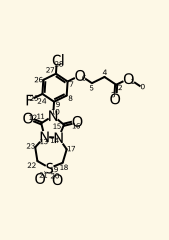 COC(=O)CCOc1cc(-n2c(=O)n3n(c2=O)CCS(=O)(=O)CC3)c(F)cc1Cl